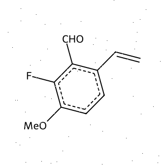 C=Cc1ccc(OC)c(F)c1C=O